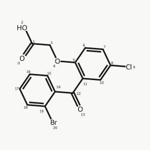 O=C(O)COc1ccc(Cl)cc1C(=O)c1ccccc1Br